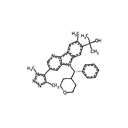 Cc1cc2c3ncc(-c4c(C)nnn4C)cc3n([C@H](c3ccccc3)C3CCOCC3)c2cc1C(C)(C)O